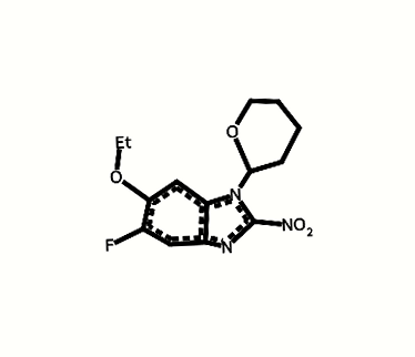 CCOc1cc2c(cc1F)nc([N+](=O)[O-])n2C1CCCCO1